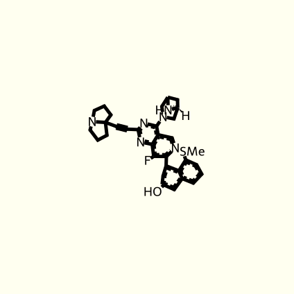 CSc1cccc2cc(O)cc(-c3ncc4c(N5CC6C[C@@H](C5)N6)nc(C#CC56CCCN5CCC6)nc4c3F)c12